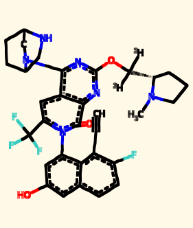 [2H]C([2H])(Oc1nc(N2CC3CCC2CN3)c2cc(C(F)(F)F)n(-c3cc(O)cc4ccc(F)c(C#C)c34)c(=O)c2n1)[C@@H]1CCCN1C